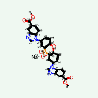 COC(=O)c1ccc2c(c1)ncn2-c1ccc2c(c1)P(=O)([O-])c1cc(-n3cnc4cc(C(=O)OC)ccc43)ccc1O2.[Na+]